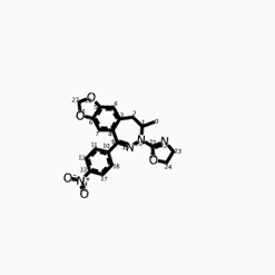 CC1Cc2cc3c(cc2C(c2ccc([N+](=O)[O-])cc2)=NN1C1=NCCO1)OCO3